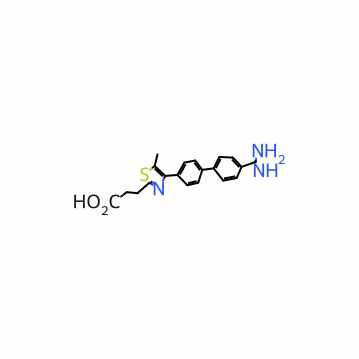 Cc1sc(CCC(=O)O)nc1-c1ccc(-c2ccc(C(=N)N)cc2)cc1